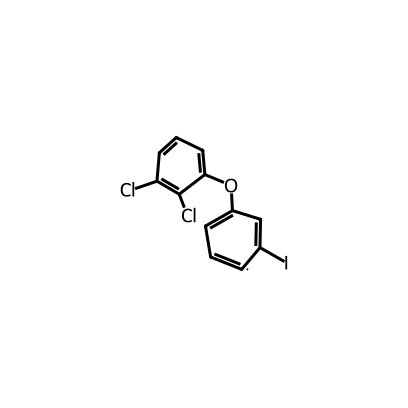 Clc1cccc(Oc2cc[c]c(I)c2)c1Cl